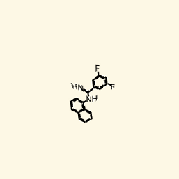 N=C(Nc1cccc2ccccc12)c1cc(F)cc(F)c1